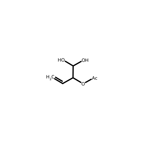 C=CC(OC(C)=O)C(O)O